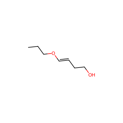 CCCOC=CCCO